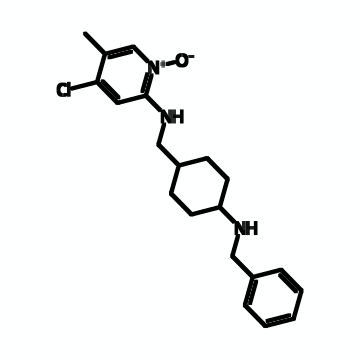 Cc1c[n+]([O-])c(NCC2CCC(NCc3ccccc3)CC2)cc1Cl